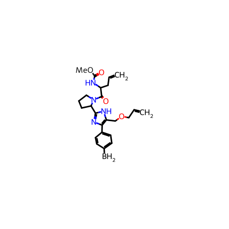 Bc1ccc(-c2nc(C3CCCN3C(=O)C(CC=C)NC(=O)OC)[nH]c2COCC=C)cc1